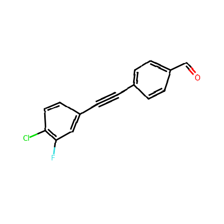 O=Cc1ccc(C#Cc2ccc(Cl)c(F)c2)cc1